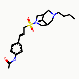 CCCCN1CC2CN(S(=O)(=O)CC=Cc3ccc(NC(C)=O)cc3)CC(C1)C2(C)C